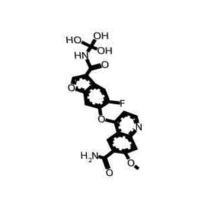 COc1cc2nccc(Oc3cc4occ(C(=O)NC(O)(O)O)c4cc3F)c2cc1C(N)=O